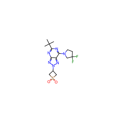 CC(C)(C)c1nc(N2CCC(F)(F)C2)c2nn(C3CS(=O)(=O)C3)nc2n1